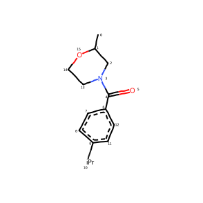 CC1CN(C(=O)c2ccc(C(C)C)cc2)CCO1